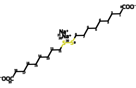 O=C([O-])CCCCCCCCSSCCCCCCCCC(=O)[O-].[Na+].[Na+]